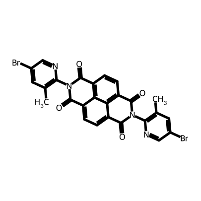 Cc1cc(Br)cnc1N1C(=O)c2ccc3c4c(ccc(c24)C1=O)C(=O)N(c1ncc(Br)cc1C)C3=O